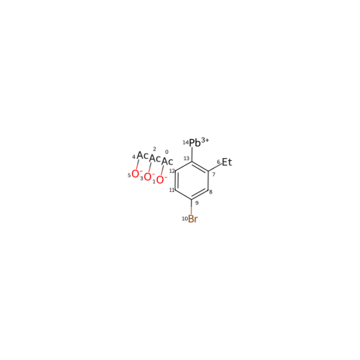 CC(=O)[O-].CC(=O)[O-].CC(=O)[O-].CCc1cc(Br)cc[c]1[Pb+3]